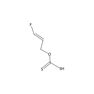 FC=CCOC(=S)S